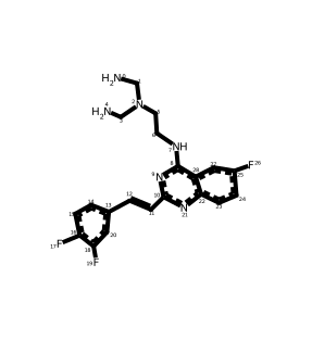 NCN(CN)CCNc1nc(/C=C/c2ccc(F)c(F)c2)nc2ccc(F)cc12